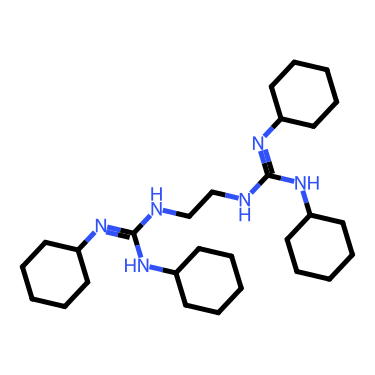 C1CCC(N=C(NCCNC(=NC2CCCCC2)NC2CCCCC2)NC2CCCCC2)CC1